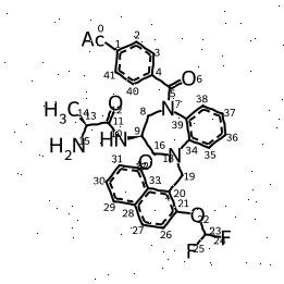 CC(=O)c1ccc(C(=O)N2C[C@H](NC(=O)[C@H](C)N)C(=O)N(Cc3c(OC(F)F)ccc4ccccc34)c3ccccc32)cc1